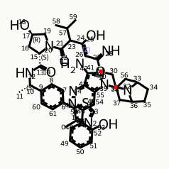 Cc1ncsc1-c1ccc([C@H](C)NC(=O)[C@@H]2C[C@@H](O)CN2C(=O)C(/C(O)=C/C(=N)OCCN2C3CCC2CC(n2nc(N)c4nnc(-c5ccccc5O)cc42)C3)C(C)C)cc1